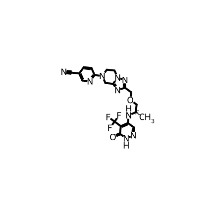 C[C@@H](COCc1nc2n(n1)CCN(c1ccc(C#N)cn1)C2)Nc1cn[nH]c(=O)c1C(F)(F)F